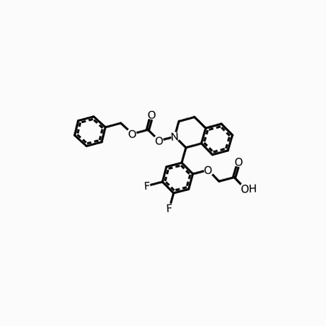 O=C(O)COc1cc(F)c(F)cc1C1c2ccccc2CCN1OC(=O)OCc1ccccc1